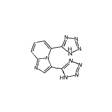 c1cc(-c2nnn[nH]2)n2c(-c3nnn[nH]3)cnc2c1